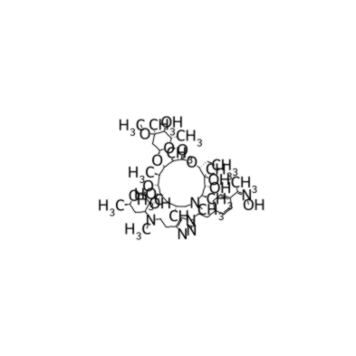 CC[C@H]1OC(=O)[C@H](C)[C@@H](O[C@H]2C[C@@](C)(OC)[C@@H](O)[C@H](C)O2)[C@H](C)[C@@H](O[C@@H]2O[C@H](C)C[C@H](N(C)CCc3cn(CCc4ccc(/C(C)=N\O)cc4)nn3)[C@H]2O)[C@](C)(O)C[C@@H](C)CN(C)[C@H](C)[C@@H](O)[C@]1(C)O